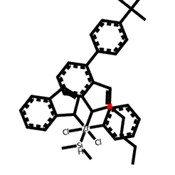 CCCCC1=Cc2c(-c3ccc(C(C)(C)C)cc3)cccc2[CH]1[Zr]([Cl])([Cl])([c]1ccccc1)([CH]1C=Cc2ccccc21)[SiH](C)C